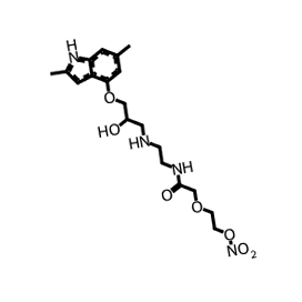 Cc1cc(OCC(O)CNCCNC(=O)COCCO[N+](=O)[O-])c2cc(C)[nH]c2c1